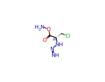 N=NN[C@@H](CCl)C(=O)ON